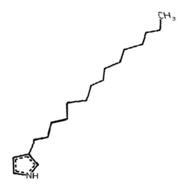 CCCCCCCCCCCCCCCc1cc[nH]c1